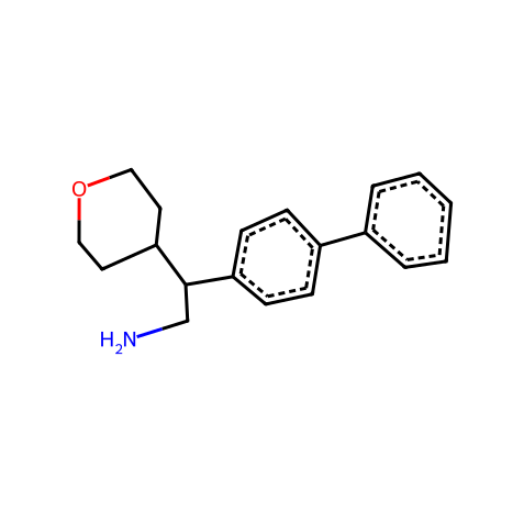 NCC(c1ccc(-c2ccccc2)cc1)C1CCOCC1